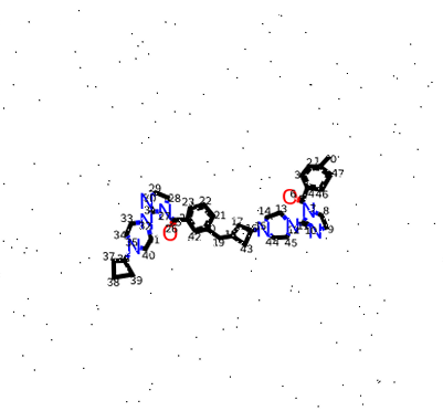 Cc1ccc(C(=O)N2CCN=C2N2CCN(C3CC(Cc4cccc(C(=O)N5CCN=C5N5CCN(C6CCC6)CC5)c4)C3)CC2)cc1